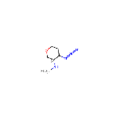 CCOC(=O)N[C@@H]1COCCC1N=[N+]=[N-]